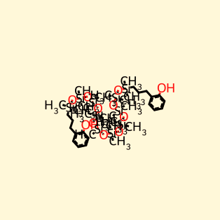 C[Si](C)(CCCc1ccccc1O)O[Si](C)(C)O[Si](C)(C)O[Si](C)(C)O[Si](C)(C)O[Si](C)(C)O[Si](C)(C)O[Si](C)(C)O[Si](C)(C)O[Si](C)(C)CCCc1ccccc1O